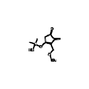 C=C1C(=O)CC(O[Si](C)(C)C(C)(C)C)=C1COC(C)(C)C